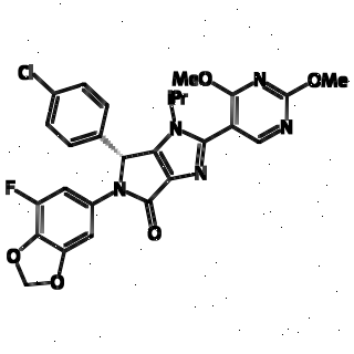 COc1ncc(-c2nc3c(n2C(C)C)[C@@H](c2ccc(Cl)cc2)N(c2cc(F)c4c(c2)OCO4)C3=O)c(OC)n1